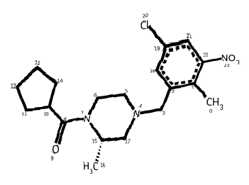 Cc1c(CN2CCN(C(=O)C3CCCC3)[C@@H](C)C2)cc(Cl)cc1[N+](=O)[O-]